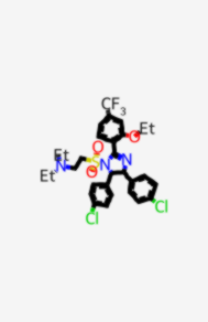 CCOc1cc(C(F)(F)F)ccc1C1=NC(c2ccc(Cl)cc2)C(c2ccc(Cl)cc2)N1S(=O)(=O)CCN(CC)CC